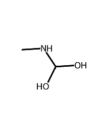 CN[C](O)O